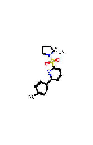 N#Cc1ccc(-c2cccc(S(=O)(=O)N3CCC[C@@H]3C#N)n2)cc1